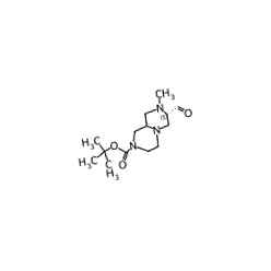 CN1CC2CN(C(=O)OC(C)(C)C)CCN2C[C@H]1C=O